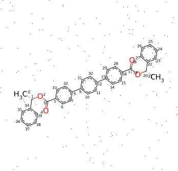 C[C@H](OC(=O)c1ccc(-c2ccc(-c3ccc(C(=O)O[C@@H](C)c4ccccc4)cc3)cc2)cc1)c1ccccc1